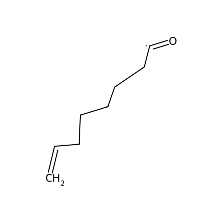 C=CCCCCC[C]=O